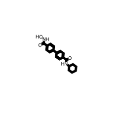 O=C(NO)c1ccc(-c2ccc(C(=O)NC3CCCCC3)cc2)cc1